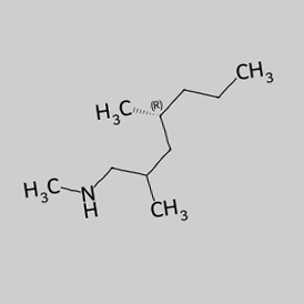 CCC[C@@H](C)CC(C)CNC